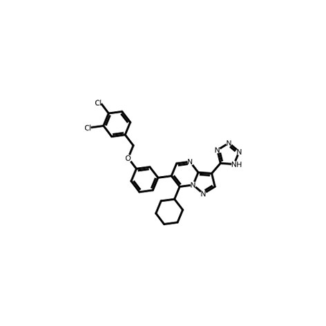 Clc1ccc(COc2cccc(-c3cnc4c(-c5nnn[nH]5)cnn4c3C3CCCCC3)c2)cc1Cl